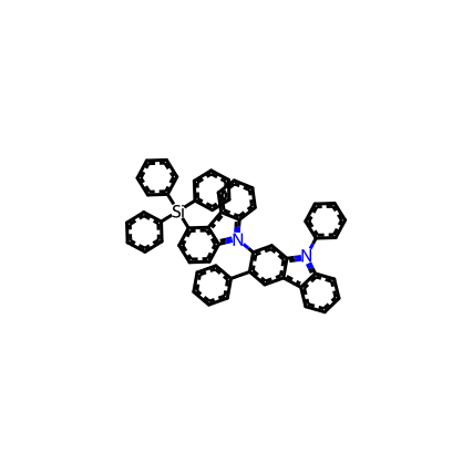 c1ccc(-c2cc3c4ccccc4n(-c4ccccc4)c3cc2-n2c3ccccc3c3c([Si](c4ccccc4)(c4ccccc4)c4ccccc4)cccc32)cc1